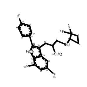 O=CC(CNC1CCC1(F)F)Cc1c(-c2ccc(F)cc2)[nH]c2c(F)cc(F)cc12